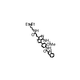 CCN(CC)CCCNC(=O)C=Cc1cnc(N)c2c(-c3ccc(NC(=O)c4cc5ccccc5n4C)c(OC)c3)csc12